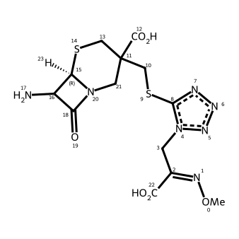 CON=C(Cn1nnnc1SCC1(C(=O)O)CS[C@@H]2C(N)C(=O)N2C1)C(=O)O